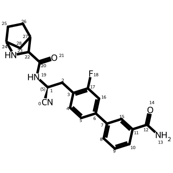 N#C[C@H](Cc1ccc(-c2cccc(C(N)=O)c2)cc1F)NC(=O)C1NC2CCC1C2